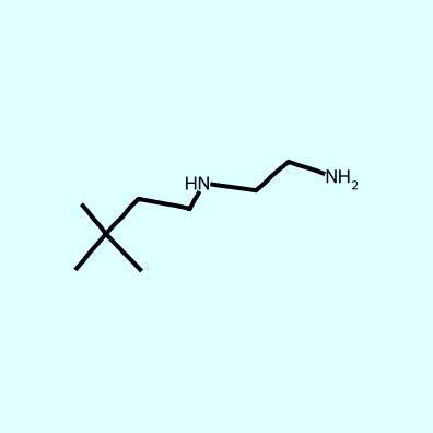 CC(C)(C)CCNCCN